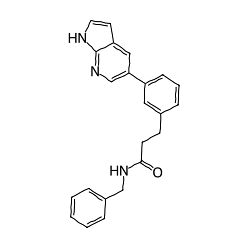 O=C(CCc1cccc(-c2cnc3[nH]ccc3c2)c1)NCc1ccccc1